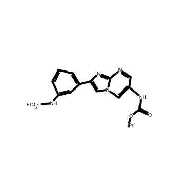 CCOC(=O)Nc1cccc(-c2cn3cc(NC(=O)OC(C)C)cnc3n2)c1